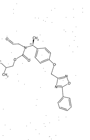 CC(C)COC(=O)N(CC=O)[C@@H](C)c1ccc(OCc2noc(-c3ccccc3)n2)cc1